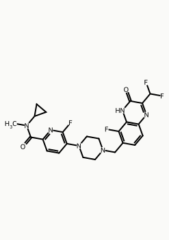 CN(C(=O)c1ccc(N2CCN(Cc3ccc4nc(C(F)F)c(=O)[nH]c4c3F)CC2)c(F)n1)C1CC1